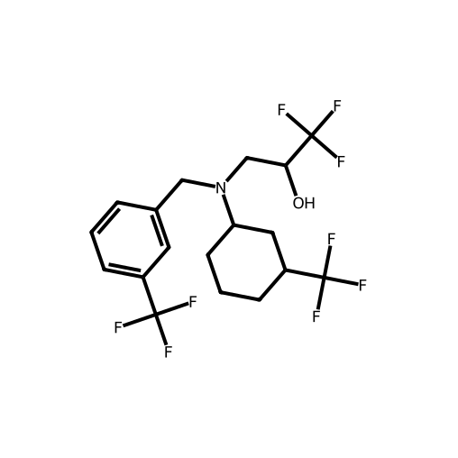 OC(CN(Cc1cccc(C(F)(F)F)c1)C1CCCC(C(F)(F)F)C1)C(F)(F)F